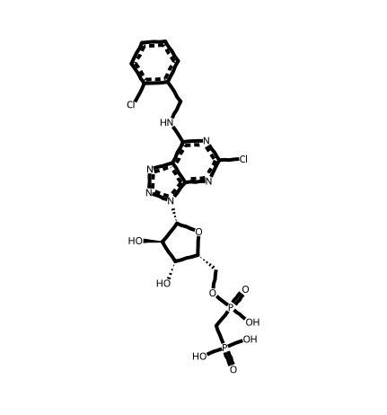 O=P(O)(O)CP(=O)(O)OC[C@H]1O[C@@H](n2nnc3c(NCc4ccccc4Cl)nc(Cl)nc32)[C@H](O)[C@H]1O